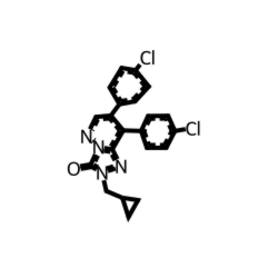 O=c1n(CC2CC2)nc2c(-c3ccc(Cl)cc3)c(-c3ccc(Cl)cc3)cnn12